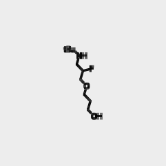 CC(C)(C)NCC(F)COCCCO